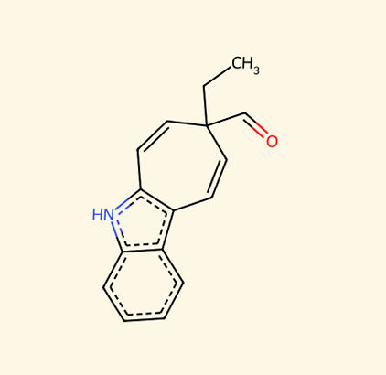 CCC1(C=O)C=Cc2[nH]c3ccccc3c2C=C1